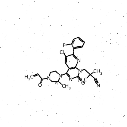 C=CC(=O)N1CCN(c2nc(=O)n(CC(C)(C)C#N)c3nc(-c4ccccc4F)c(Cl)cc23)[C@@H](C)C1